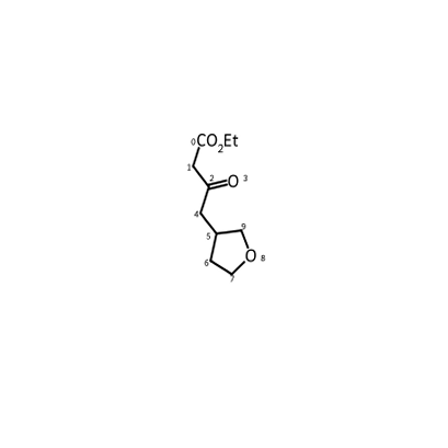 CCOC(=O)CC(=O)CC1CCOC1